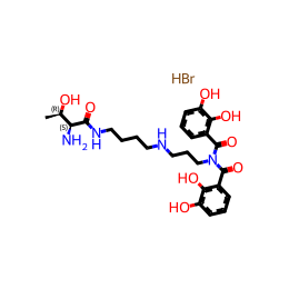 Br.C[C@@H](O)[C@H](N)C(=O)NCCCCNCCCN(C(=O)c1cccc(O)c1O)C(=O)c1cccc(O)c1O